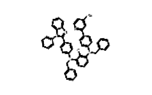 CC(C)(C)c1ccnc(-c2ccc(N(Cc3ccccc3)c3cccc(N(Cc4ccccc4)c4ccc(-c5nc6ccccc6n5-c5ccccc5)cc4)c3Cl)cc2)c1